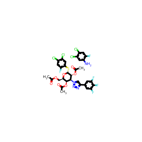 CC(=O)OC[C@H]1O[C@H](Sc2cc(Cl)c(Cl)cc2F)[C@H](OC(C)=O)[C@@H](n2cc(-c3cc(F)c(F)c(F)c3)nn2)[C@H]1OC(C)=O.Nc1cc(Cl)c(Cl)cc1F